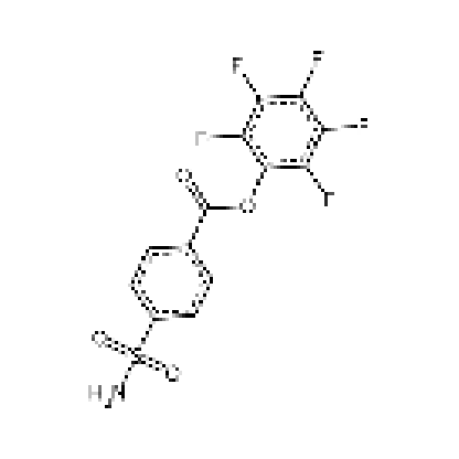 NS(=O)(=O)c1ccc(C(=O)Oc2c(F)c(F)c(F)c(F)c2F)cc1